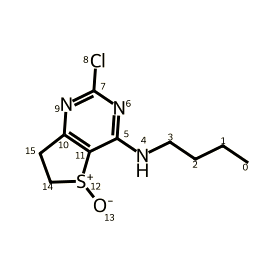 CCCCNc1nc(Cl)nc2c1[S+]([O-])CC2